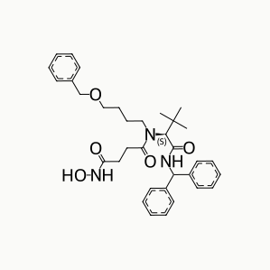 CC(C)(C)[C@@H](C(=O)NC(c1ccccc1)c1ccccc1)N(CCCCOCc1ccccc1)C(=O)CCC(=O)NO